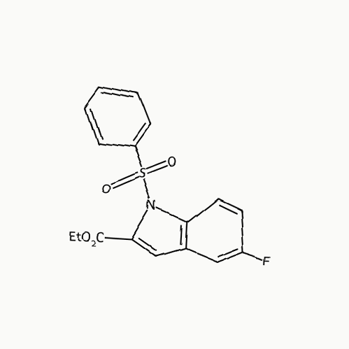 CCOC(=O)c1cc2cc(F)ccc2n1S(=O)(=O)c1ccccc1